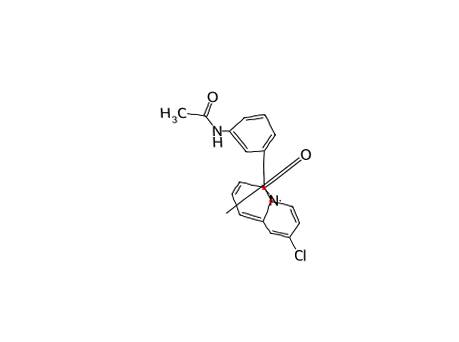 CC(=O)Nc1cccc(C2=C3C=CC=C4C=C(Cl)C=CC43C[N]C2=O)c1